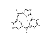 C=C(C)n1ccnc1.CB(c1ccccc1)c1ccccc1